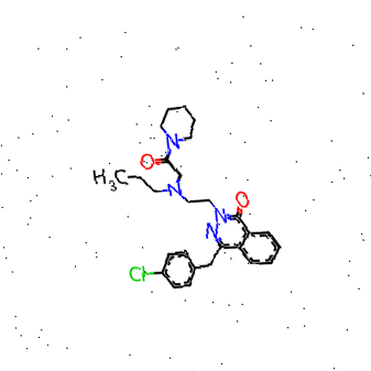 CCCN(CCn1nc(Cc2ccc(Cl)cc2)c2ccccc2c1=O)CC(=O)N1CCCCC1